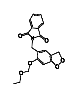 CCOCOc1cc2c(cc1CN1C(=O)c3ccccc3C1=O)COO2